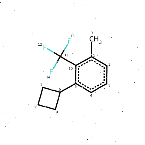 Cc1cccc(C2CCC2)c1C(F)(F)F